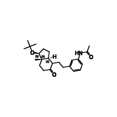 CC(=O)Nc1cccc(CCC2C(=O)CC[C@]3(C)[C@@H](OC(C)(C)C)CC[C@@H]23)c1